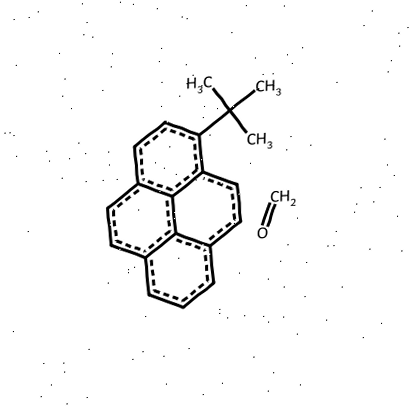 C=O.CC(C)(C)c1ccc2ccc3cccc4ccc1c2c34